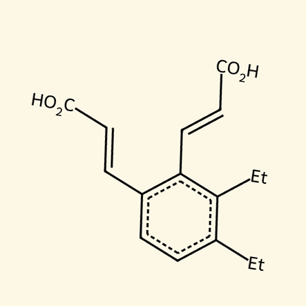 CCc1ccc(C=CC(=O)O)c(C=CC(=O)O)c1CC